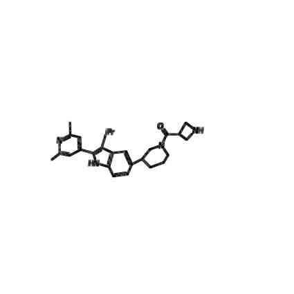 Cc1cc(-c2[nH]c3ccc(C4CCCN(C(=O)C5CNC5)C4)cc3c2C(C)C)cc(C)n1